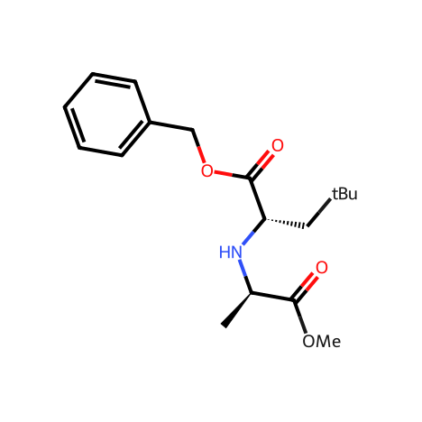 COC(=O)[C@@H](C)N[C@@H](CC(C)(C)C)C(=O)OCc1ccccc1